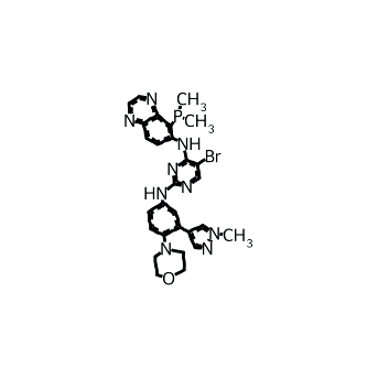 Cn1cc(-c2cc(Nc3ncc(Br)c(Nc4ccc5nccnc5c4P(C)C)n3)ccc2N2CCOCC2)cn1